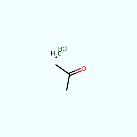 CC(C)=O.Cl.[CH2]